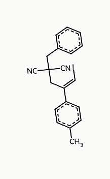 Cc1ccc(/C(=C/I)CC(C#N)(C#N)Cc2ccccc2)cc1